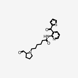 O=CC1CCCN1CCCCCC(=O)Nc1ncccc1C(=O)c1cccs1